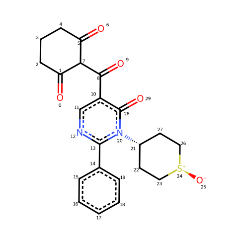 O=C1CCCC(=O)C1C(=O)c1cnc(-c2ccccc2)n([C@H]2CC[S@+]([O-])CC2)c1=O